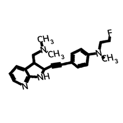 CN(C)CC1c2cccnc2NC1C#Cc1ccc(N(C)CCF)cc1